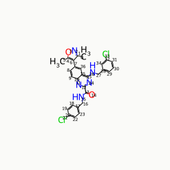 Cc1noc(C)c1-c1ccc2nc(C(=O)NCc3ccc(Cl)cc3)nc(NCc3cccc(Cl)c3)c2c1